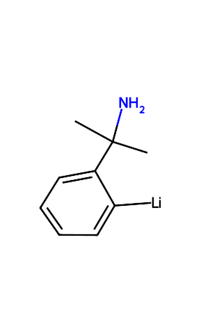 [Li][c]1ccccc1C(C)(C)N